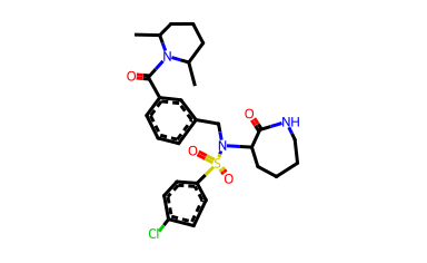 CC1CCCC(C)N1C(=O)c1cccc(CN(C2CCCCNC2=O)S(=O)(=O)c2ccc(Cl)cc2)c1